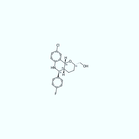 OC[C@@H]1CC[C@@H]2[C@@H](c3ccc(F)cc3)Nc3ccc(Cl)cc3[C@@H]2O1